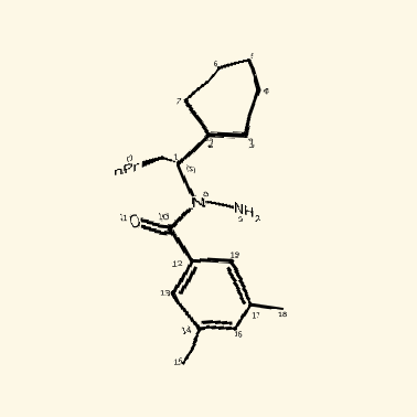 CCC[C@@H](C1CCCCC1)N(N)C(=O)c1cc(C)cc(C)c1